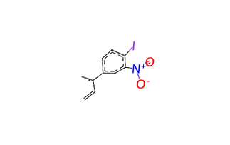 C=C[C](C)c1ccc(I)c([N+](=O)[O-])c1